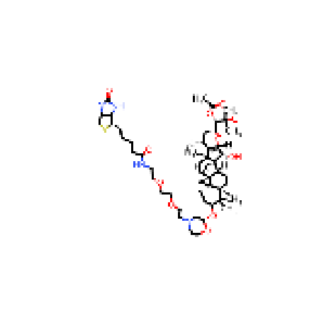 CC(=O)O[C@@H]([C@H]1C[C@@H](C)[C@@]2(C)[C@H](O1)[C@H](O)[C@@]1(C)[C@@H]3CC[C@H]4C(C)(C)[C@@H](O[C@H]5CN(CCOCCOCCNC(=O)CCCC[C@@H]6SCC7NC(=O)NC76)CCO5)CC[C@@]45C[C@@]35CC[C@]21C)C(C)(C)O